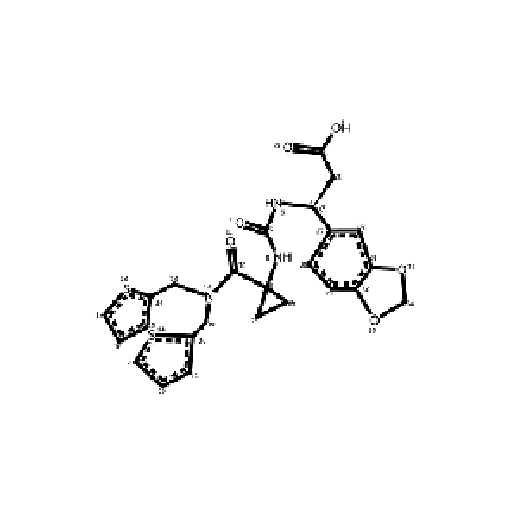 O=C(O)C[C@H](NC(=O)NC1(C(=O)N(Cc2cccs2)Cc2cccs2)CC1)c1ccc2c(c1)OCO2